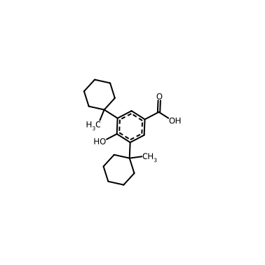 CC1(c2cc(C(=O)O)cc(C3(C)CCCCC3)c2O)CCCCC1